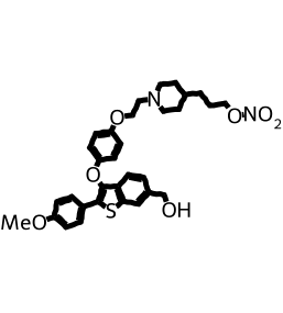 COc1ccc(-c2sc3cc(CO)ccc3c2Oc2ccc(OCCN3CCC(CCCO[N+](=O)[O-])CC3)cc2)cc1